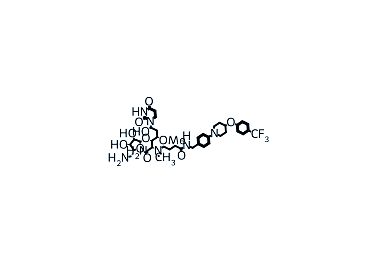 CO[C@@H](CC(O)n1ccc(=O)[nH]c1=O)[C@@H](O[C@@H]1O[C@H](CN)[C@@H](O)[C@H]1O)[C@@H](C(N)=O)N(C)CCCC(=O)NCc1ccc(N2CCC(Oc3ccc(C(F)(F)F)cc3)CC2)cc1